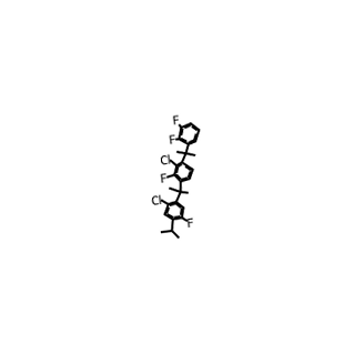 CC(C)c1cc(Cl)c(C(C)(C)c2ccc(C(C)(C)c3cccc(F)c3F)c(Cl)c2F)cc1F